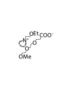 CCOCC[n+]1ccccc1.COCCOCCOCCC(=O)[O-]